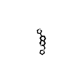 c1cc2cc(CN3CCCC3)ncc2cc1C1CCOC1